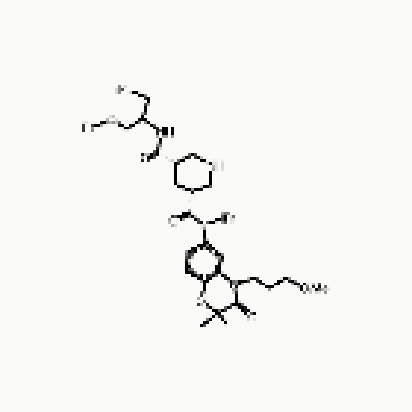 CCOCC(CC(C)C)NC(=O)[C@@H]1CNC[C@H](C(=O)N(c2ccc3c(c2)N(CCCOC)C(=O)C(C)(C)O3)C(C)C)C1